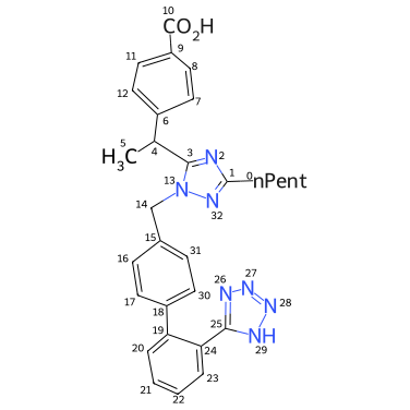 CCCCCc1nc(C(C)c2ccc(C(=O)O)cc2)n(Cc2ccc(-c3ccccc3-c3nnn[nH]3)cc2)n1